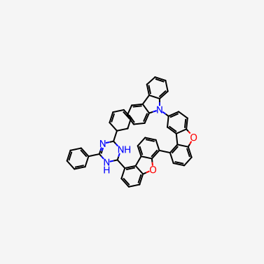 C1=CCC(C2N=C(c3ccccc3)NC(c3cccc4oc5c(-c6cccc7oc8ccc(-n9c%10ccccc%10c%10ccccc%109)cc8c67)cccc5c34)N2)C=C1